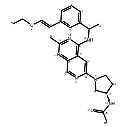 CCO/C=C/c1cccc(C(C)Nc2nc(C)nc3cnc(N4CC[C@@H](NC(C)=O)C4)cc23)c1